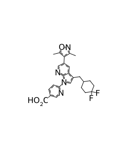 Cc1noc(C)c1-c1cnc2c(c1)c(CC1CCC(F)(F)CC1)cn2-c1ccc(C(=O)O)cn1